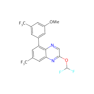 COc1cc(-c2cc(C(F)(F)F)cc3nc(OC(F)F)cnc23)cc(C(F)(F)F)c1